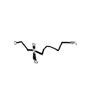 NCCCCS(=O)(=O)CCCl